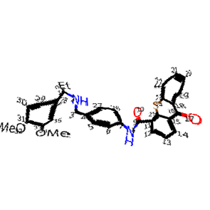 CCC(NCc1ccc(NC(=O)c2cccc3c(=O)c4ccccc4sc23)cc1)c1ccc(OC)c(OC)c1